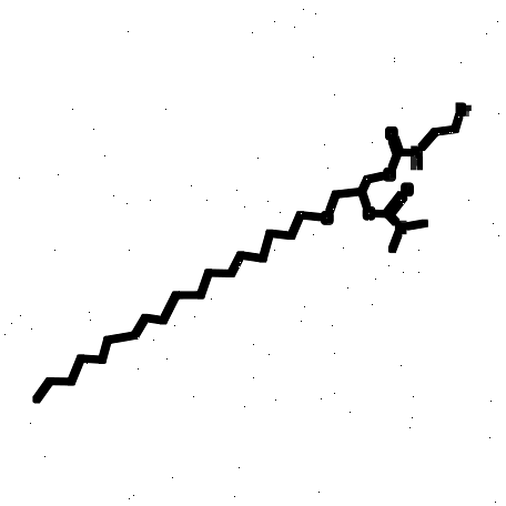 CCCCCCCCCCCCCCCCCCOCC(COC(=O)NCCBr)OC(=O)N(C)C